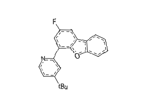 CC(C)(C)c1ccnc(-c2cc(F)cc3c2oc2ccccc23)c1